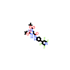 CC(C)(C)OC(=O)NCC(NC(=O)OC(C)(C)C)C(=O)Nc1ccc(-c2c(F)c(F)nc(F)c2F)cc1